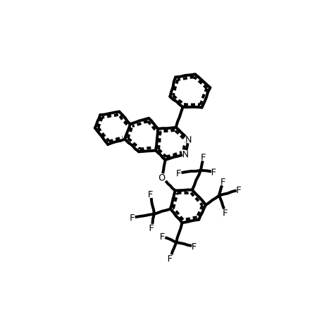 FC(F)(F)c1cc(C(F)(F)F)c(C(F)(F)F)c(Oc2nnc(-c3ccccc3)c3cc4ccccc4cc23)c1C(F)(F)F